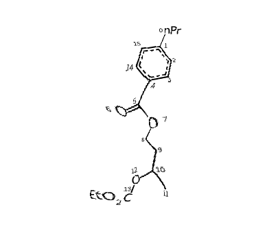 CCCc1ccc(C(=O)OCCC(C)OC(=O)OCC)cc1